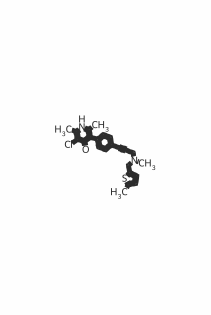 Cc1ccc(CN(C)CC#Cc2ccc(-c3c(C)[nH]c(C)c(Cl)c3=O)cc2)s1